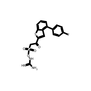 N=C(N)NOS(=O)(=O)CC(=O)c1cc2c(-c3ccc(F)cc3)cccc2s1